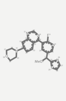 COC(c1cnc(F)c(-c2ncnc3cc(N4CCOCC4)ccc23)c1)c1nccs1